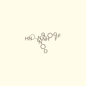 COc1ccc(-n2cc(C3CCCNC3)nc2NC(=O)c2ccc(OC(F)F)cc2)cc1